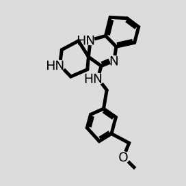 COCc1cccc(CNC2=Nc3ccccc3NC23CCNCC3)c1